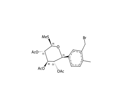 CS[C@H]1O[C@@H](c2ccc(C)c(CBr)c2)[C@H](OC(C)=O)[C@@H](OC(C)=O)[C@@H]1OC(C)=O